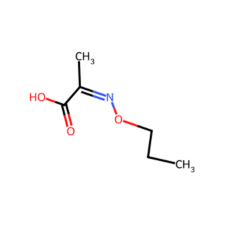 CCCON=C(C)C(=O)O